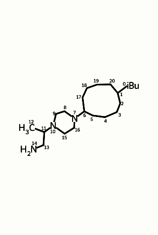 CCC(C)C1CCCCC(N2CCN(C(C)CN)CC2)CCCC1